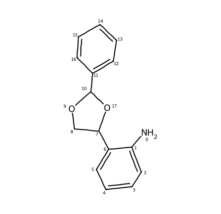 Nc1ccccc1C1COC(c2ccccc2)O1